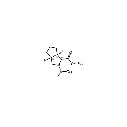 CB(O)N1C[C@@H]2CCC[C@@H]2[C@H]1C(=O)OC(C)(C)C